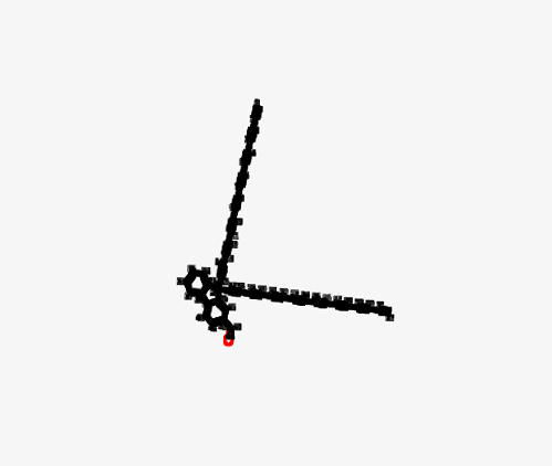 C#CC#CC#CC#CC#CC#CC#CC#CC1(C#CC#CC#CC#CC#CC#CC#CC#C)c2ccccc2-c2ccc(C=O)cc21